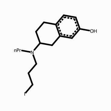 CCCN(CCCI)C1CCc2ccc(O)cc2C1